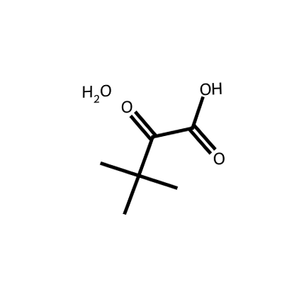 CC(C)(C)C(=O)C(=O)O.O